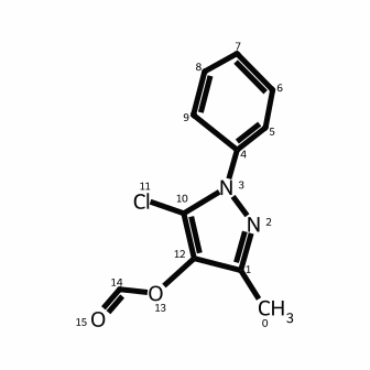 Cc1nn(-c2ccccc2)c(Cl)c1OC=O